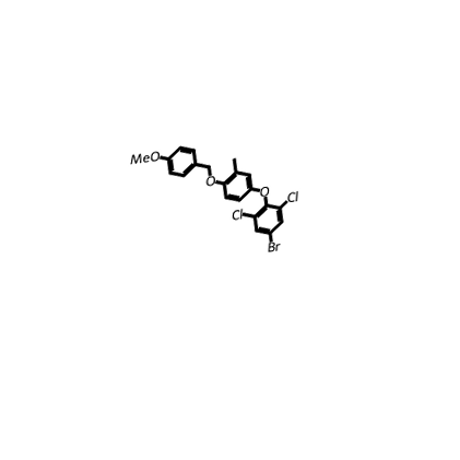 COc1ccc(COc2ccc(Oc3c(Cl)cc(Br)cc3Cl)cc2C)cc1